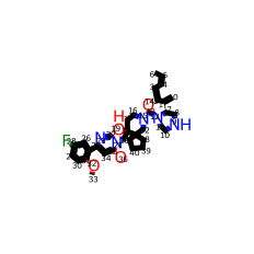 C=C(/C=C\C=C/C)[C@@H]1CNCCN1C(=O)N1CC[C@@](O)(Cn2cnc(-c3cc(F)ccc3OC)cc2=O)C2(CCCC2)C1